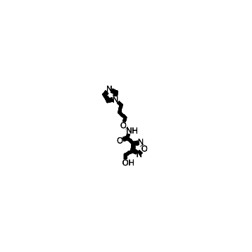 O=C(NOCCCn1ccnc1)c1nonc1CO